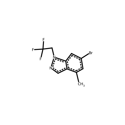 Cc1cc(Br)cc2c1cnn2CC(F)(F)F